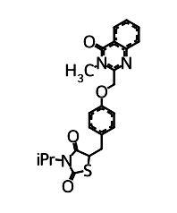 CC(C)N1C(=O)SC(Cc2ccc(OCc3nc4ccccc4c(=O)n3C)cc2)C1=O